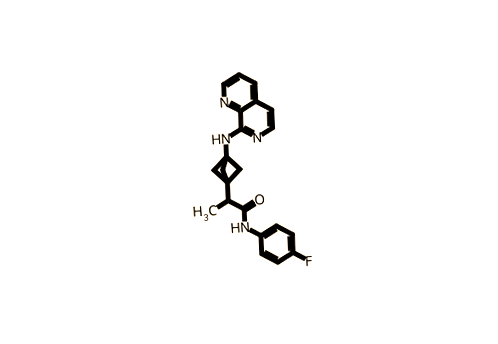 CC(C(=O)Nc1ccc(F)cc1)C12CC(Nc3nccc4cccnc34)(C1)C2